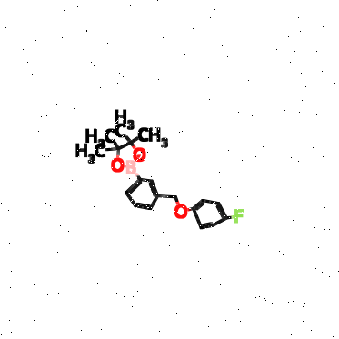 CC1(C)OB(c2cccc(COc3ccc(F)cc3)c2)OC1(C)C